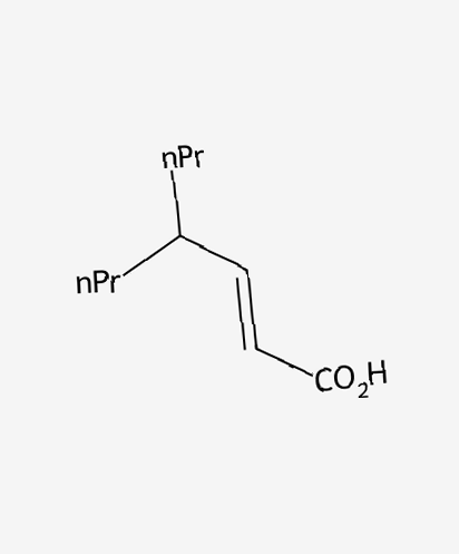 CCCC(C=CC(=O)O)CCC